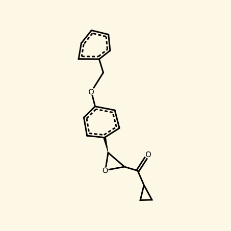 O=C(C1CC1)C1O[C@H]1c1ccc(OCc2ccccc2)cc1